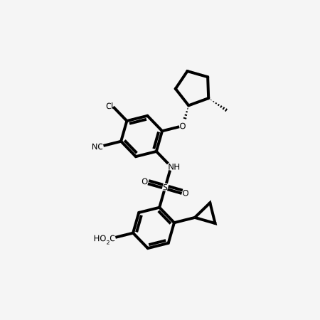 C[C@H]1CCC[C@H]1Oc1cc(Cl)c(C#N)cc1NS(=O)(=O)c1cc(C(=O)O)ccc1C1CC1